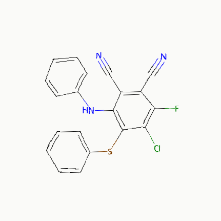 N#Cc1c(F)c(Cl)c(Sc2ccccc2)c(Nc2ccccc2)c1C#N